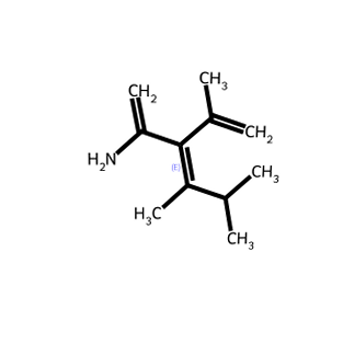 C=C(C)/C(C(=C)N)=C(/C)C(C)C